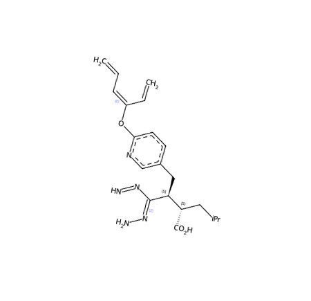 C=C/C=C(\C=C)Oc1ccc(C[C@H](/C(N=N)=N/N)[C@H](CC(C)C)C(=O)O)cn1